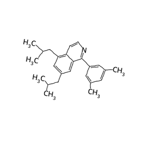 Cc1cc(C)cc(-c2nccc3c(CC(C)C)cc(CC(C)C)cc23)c1